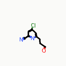 N#Cc1cc(Cl)cc(CCC=O)n1